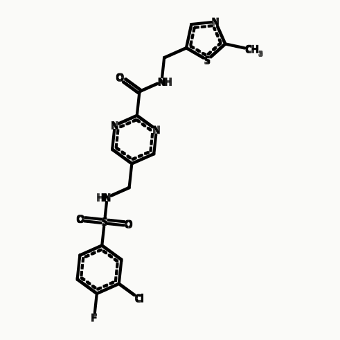 Cc1ncc(CNC(=O)c2ncc(CNS(=O)(=O)c3ccc(F)c(Cl)c3)cn2)s1